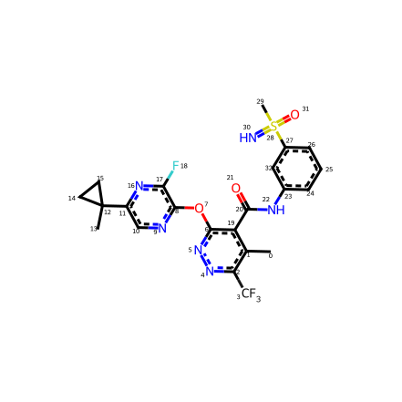 Cc1c(C(F)(F)F)nnc(Oc2ncc(C3(C)CC3)nc2F)c1C(=O)Nc1cccc(S(C)(=N)=O)c1